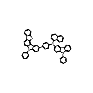 c1ccc(-n2c3ccccc3c3cc(N(c4ccc(-c5ccc6c(c5)c5c7sc8ccccc8c7ccc5n6-c5ccccc5)cc4)c4cccc5ccccc45)ccc32)cc1